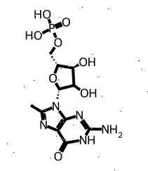 Cc1nc2c(=O)[nH]c(N)nc2n1[C@@H]1O[C@H](COP(=O)(O)O)[C@@H](O)C1O